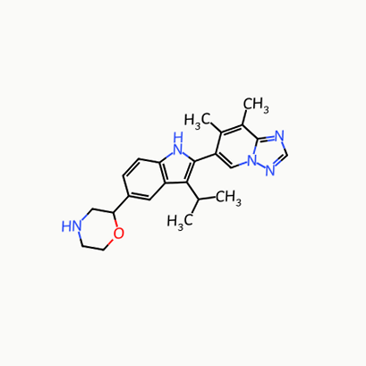 Cc1c(-c2[nH]c3ccc(C4CNCCO4)cc3c2C(C)C)cn2ncnc2c1C